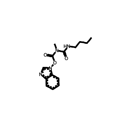 CCCCNC(=O)N(C)C(=O)On1cnc2ccccc21